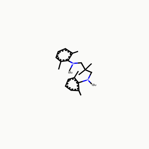 Cc1cccc(C)c1N(CC(C)(C)CN(c1c(C)cccc1C)C(C)(C)C)C(C)(C)C